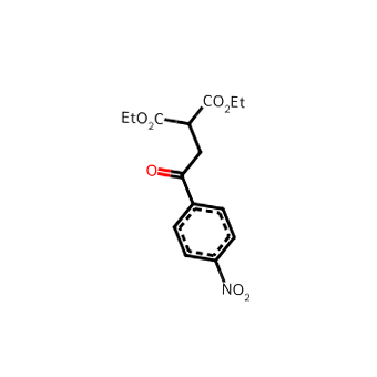 CCOC(=O)C(CC(=O)c1ccc([N+](=O)[O-])cc1)C(=O)OCC